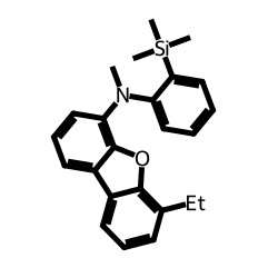 CCc1cccc2c1oc1c(N(C)c3ccccc3[Si](C)(C)C)cccc12